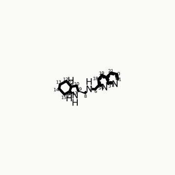 c1cnc2nc(CNC[C@@H]3C[C@@H]4CCCC[C@@H]4N3)ccc2c1